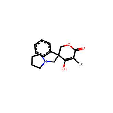 CCC1=C(O)C(CN2CCCC2)(c2ccccc2)COC1=O